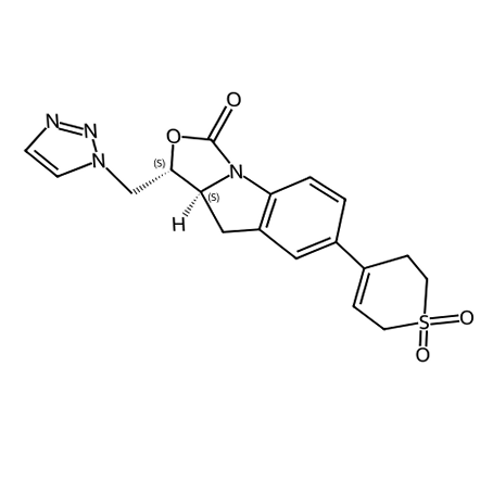 O=C1O[C@@H](Cn2ccnn2)[C@@H]2Cc3cc(C4=CCS(=O)(=O)CC4)ccc3N12